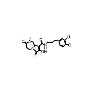 O=C1CCN2C(=O)C(O)=C(C(=O)NCCCc3ccc(Cl)c(Cl)c3)C2CN1